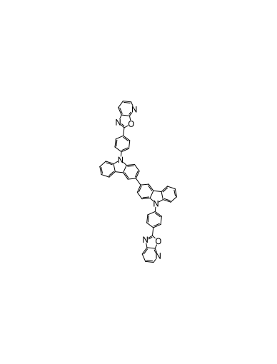 c1cnc2oc(-c3ccc(-n4c5ccccc5c5cc(-c6ccc7c(c6)c6ccccc6n7-c6ccc(-c7nc8cccnc8o7)cc6)ccc54)cc3)nc2c1